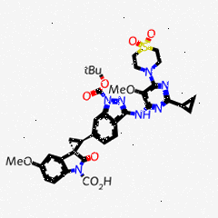 COc1ccc2c(c1)[C@]1(C[C@H]1c1ccc3c(Nc4nc(C5CC5)nc(N5CCS(=O)(=O)CC5)c4OC)nn(C(=O)OC(C)(C)C)c3c1)C(=O)N2C(=O)O